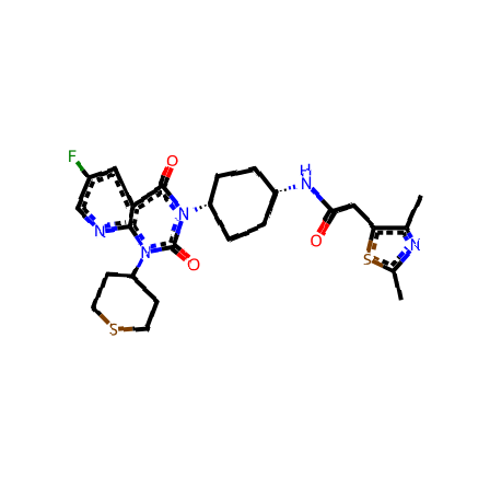 Cc1nc(C)c(CC(=O)N[C@H]2CC[C@@H](n3c(=O)c4cc(F)cnc4n(C4CCSCC4)c3=O)CC2)s1